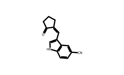 N#Cc1ccc2[nH]cc(/C=C3/CCCC3=O)c2c1